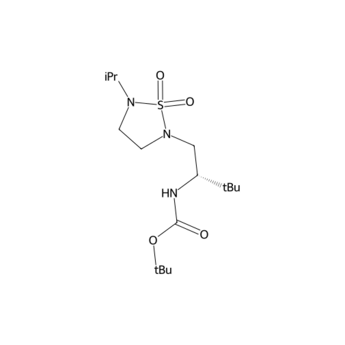 CC(C)N1CCN(C[C@@H](NC(=O)OC(C)(C)C)C(C)(C)C)S1(=O)=O